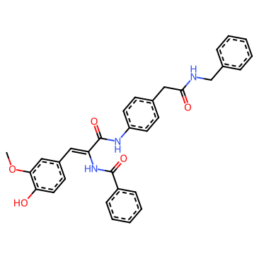 COc1cc(C=C(NC(=O)c2ccccc2)C(=O)Nc2ccc(CC(=O)NCc3ccccc3)cc2)ccc1O